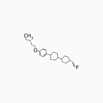 CCCCCOc1ccc(C2CCC(C3CCC(C=CF)CC3)CC2)cc1